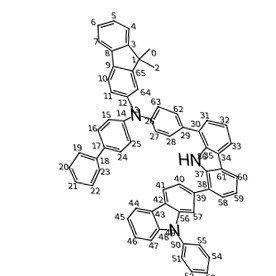 CC1(C)c2ccccc2-c2ccc(N(c3ccc(-c4ccccc4)cc3)c3ccc(-c4cccc5c4[nH]c4c(-c6ccc7c8ccccc8n(-c8ccccc8)c7c6)cccc45)cc3)cc21